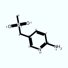 CS(=O)(=O)Cc1ccc(N)nc1